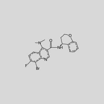 CN(C)c1c(C(=O)N[C@H]2CCOc3ccccc32)cnc2c(Br)c(F)ccc12